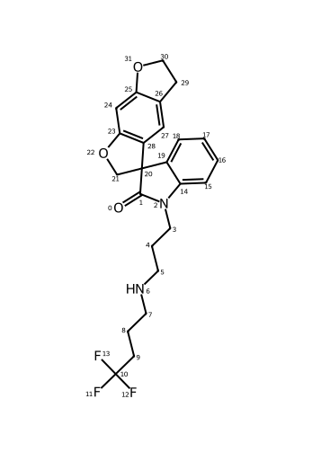 O=C1N(CCCNCCCC(F)(F)F)c2ccccc2C12COc1cc3c(cc12)CCO3